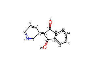 O=C1C(=C2C=CC=NC2)C(=O)c2ccccc21